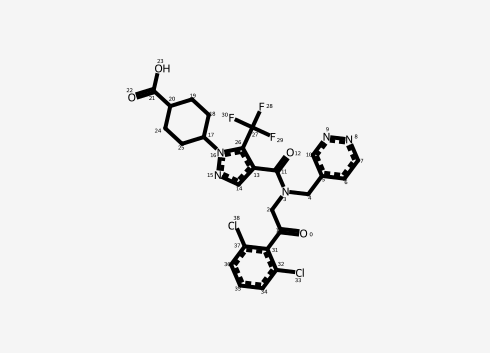 O=C(CN(Cc1ccnnc1)C(=O)c1cnn(C2CCC(C(=O)O)CC2)c1C(F)(F)F)c1c(Cl)cccc1Cl